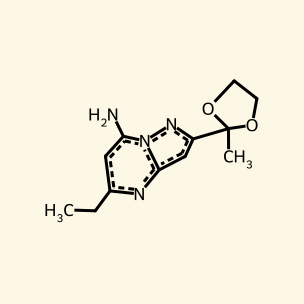 CCc1cc(N)n2nc(C3(C)OCCO3)cc2n1